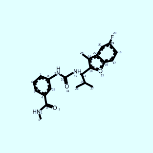 CNC(=O)c1cccc(NC(=O)NC(c2oc3ccc(F)cc3c2C)C(C)C)c1